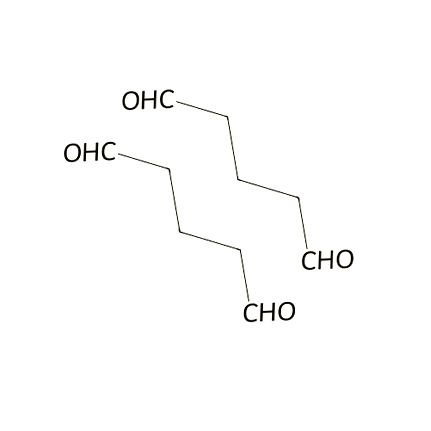 O=CCCCC=O.O=CCCCC=O